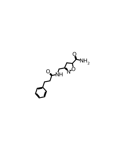 NC(=O)C1CC(CNC(=O)CCc2ccccc2)=NO1